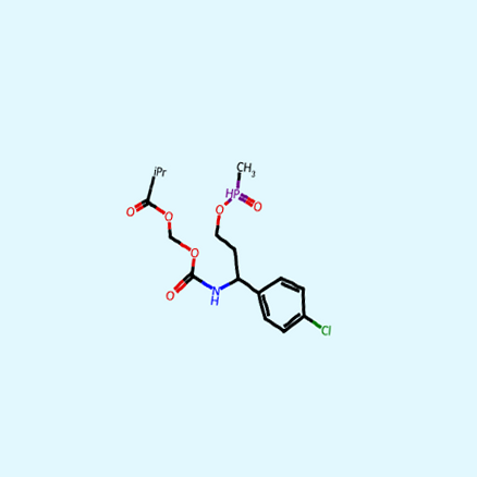 CC(C)C(=O)OCOC(=O)NC(CCO[PH](C)=O)c1ccc(Cl)cc1